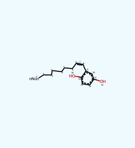 CCCCCCCCCCCCCCC/C=C\c1cc(O)ccc1O